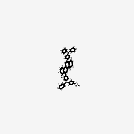 C[Si](C)(C)c1ccc(N(c2ccccc2)c2ccc3c(c2)Oc2cccc4c2c-3cc2c3ccccc3c(-c3ccc(N(c5ccccc5)c5ccccc5)cc3)cc42)cc1